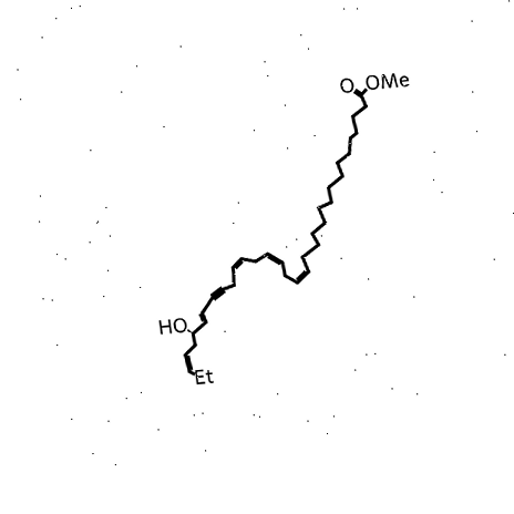 CC/C=C\C[C@H](O)/C=C/C#CC/C=C\C/C=C\C/C=C\CCCCCCCCCCCCCCC(=O)OC